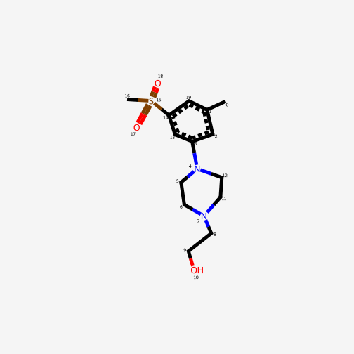 Cc1cc(N2CCN(CCO)CC2)cc(S(C)(=O)=O)c1